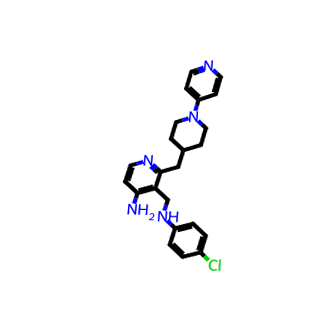 Nc1ccnc(CC2CCN(c3ccncc3)CC2)c1CNc1ccc(Cl)cc1